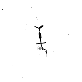 C=C(C)C#CC(C)(C)NSI